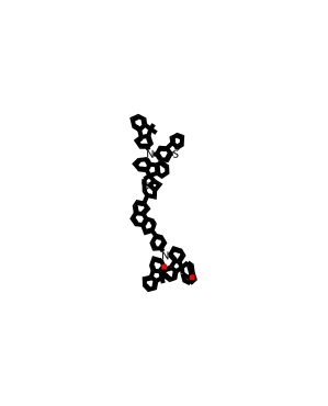 CC1(C)c2ccccc2-c2ccc(N(c3ccc4sc5ccccc5c4c3)c3cccc4c3C3=C(CCC=C3)C43C4CC5(c6ccc7ccc8cc(-c9ccc(N(c%10ccc%11c(c%10)C(C)(C)c%10ccccc%10-%11)c%10cccc%11c%10-c%10ccccc%10C%11%10C%11CC%12CC(C%11)CC%10C%12)cc9)ccc8c7c6)CC6CC3[C@@]6(C4)C5)cc21